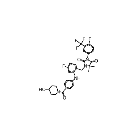 CC1(C)C(=O)N(c2ccc(F)c(C(F)(F)F)c2)C(=O)N1Cc1ccc(F)cc1Nc1ccc(C(=O)N2CCC(O)CC2)cc1